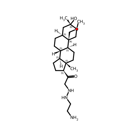 COC[C@]12CC[C@@](C)(O)C[C@@H]1CC[C@H]1[C@@H]3CC[C@H](C(=O)CNNCCN)[C@@]3(C)CC[C@@H]12